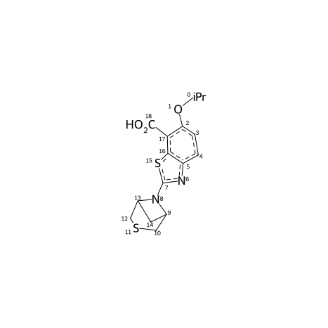 CC(C)Oc1ccc2nc(N3C4CSCC3C4)sc2c1C(=O)O